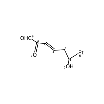 CCC(O)CC=CC(=O)C=O